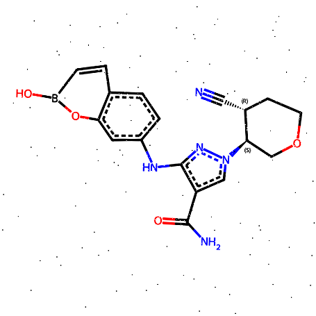 N#C[C@@H]1CCOC[C@H]1n1cc(C(N)=O)c(Nc2ccc3c(c2)OB(O)C=C3)n1